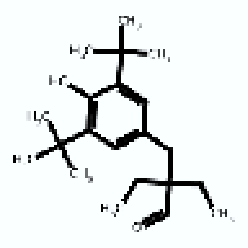 CCC(C=O)(CC)Cc1cc(C(C)(C)C)c(O)c(C(C)(C)C)c1